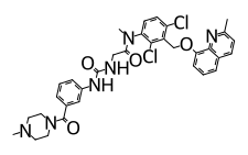 Cc1ccc2cccc(OCc3c(Cl)ccc(N(C)C(=O)CNC(=O)Nc4cccc(C(=O)N5CCN(C)CC5)c4)c3Cl)c2n1